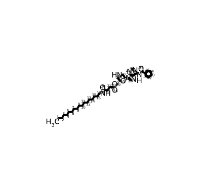 CCCCCCCCCCCCCCCCCCNC(=O)CCC(=O)OC[C@@H]1CNC[C@H](n2cnc3c(NC(=O)c4ccccc4)ncnc32)O1